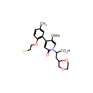 COc1cn(C(CC2COCCO2)C(=O)O)c(=O)cc1-c1cc(C)ccc1OCCF